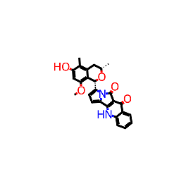 COc1cc(O)c(C)c2c1[C@@H](c1ccc3n1C(=O)c1c-3[nH]c3ccccc3c1=O)O[C@@H](C)C2